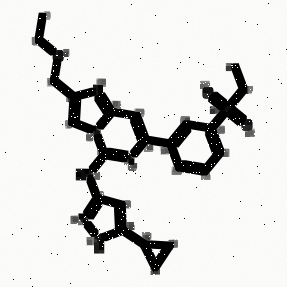 CCOCc1cn2c(Nc3cc(C4CC4)[nH]n3)nc(-c3cccc(S(=O)(=O)CC)c3)cc2n1